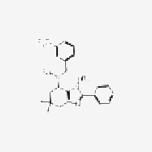 CCCCN(Cc1cccc(C(F)(F)F)c1)C1CC(C)(C)Cc2nc(-c3ccccc3)n(CCCC)c21